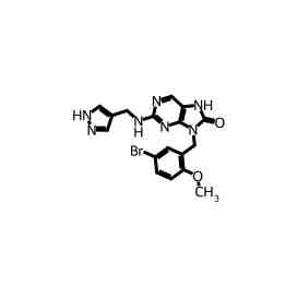 COc1ccc(Br)cc1Cn1c(=O)[nH]c2cnc(NCc3cn[nH]c3)nc21